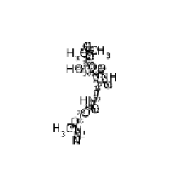 CC(N=[N+]=[N-])OCCOCC(=O)NCC#Cc1cn(C2CC(O)C(COP(C)(C)=O)O2)c(=O)[nH]c1=O